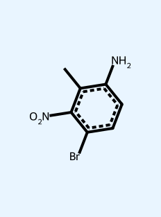 Cc1c(N)ccc(Br)c1[N+](=O)[O-]